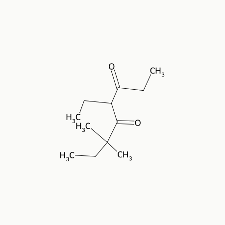 CCC(=O)C(CC)C(=O)C(C)(C)CC